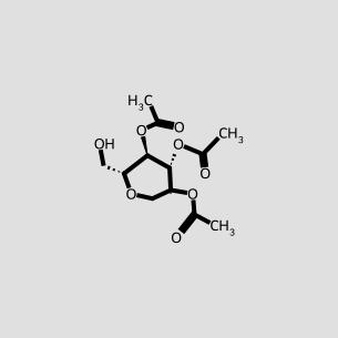 CC(=O)O[C]1CO[C@H](CO)[C@@H](OC(C)=O)[C@@H]1OC(C)=O